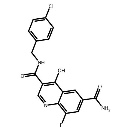 NC(=O)c1cc(F)c2ncc(C(=O)NCc3ccc(Cl)cc3)c(O)c2c1